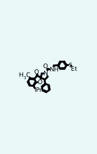 CCSc1ccc(CNC(=O)N2CC(c3ccccc3)C3(C2)Oc2c(C(C)C)ccc(C)c2C3=O)cc1